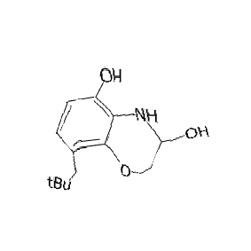 CC(C)(C)c1ccc(O)c2c1OCC(O)N2